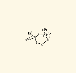 CCC[Si]1(Br)CCC[Si](Br)(CCC)C1